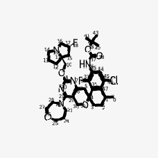 CC1CCC2(Cc3nc(OC[C@@]45CCCN4C[C@H](F)C5)nc(N4CCCOCC4)c3CO2)c2c(F)c(NC(=O)OC(C)(C)C)cc(Cl)c21